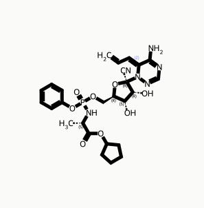 C=C/C=C1/C(N)=NC=NN1[C@]1(C#N)O[C@H](COP(=O)(N[C@@H](C)C(=O)OC2CCCC2)Oc2ccccc2)[C@@H](O)[C@H]1O